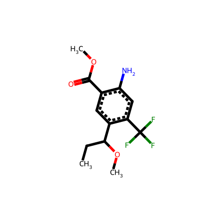 CCC(OC)c1cc(C(=O)OC)c(N)cc1C(F)(F)F